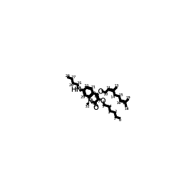 CCCCCCOc1c(OCC=C(C)CCC=C(C)C)c2ccc(NCCCC)cc2n(C)c1=O